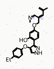 C=C(C)/C=C(\C=N/C)COc1ccc(-c2n[nH]cc2Oc2ccc(CC)cc2)c(O)c1